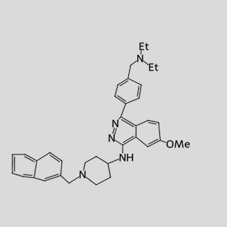 CCN(CC)Cc1ccc(-c2nnc(NC3CCN(Cc4ccc5ccccc5c4)CC3)c3cc(OC)ccc23)cc1